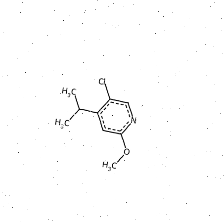 COc1cc(C(C)C)c(Cl)cn1